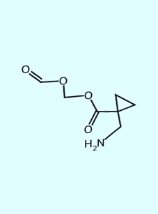 NCC1(C(=O)OCOC=O)CC1